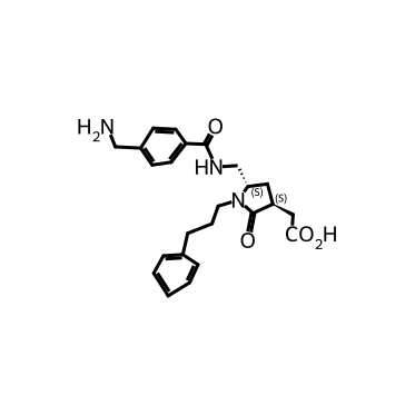 NCc1ccc(C(=O)NC[C@@H]2C[C@@H](CC(=O)O)C(=O)N2CCCc2ccccc2)cc1